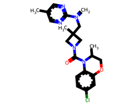 C=[N+](CC1(C)CN(C(=O)N2c3ccc(Cl)cc3OCC2C)C1)c1ncc(C)cn1